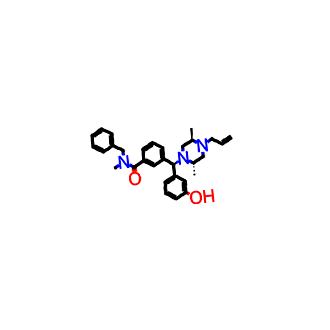 C=CCN1C[C@H](C)N([C@@H](c2cccc(O)c2)c2cccc(C(=O)N(C)Cc3ccccc3)c2)C[C@H]1C